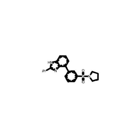 CC(C)c1nc2c(-c3cccc(S(=O)(=O)N4CCCC4)c3)cccc2[nH]1